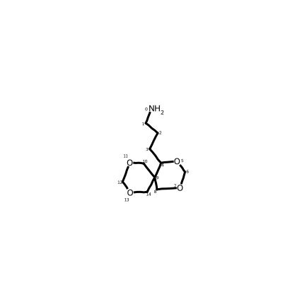 NCCCC1OCOCC12COCOC2